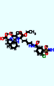 CCOC(=O)[C@H](CCCCNC(=O)c1ccc(Cl)c(S(N)(=O)=O)c1)N[C@@H](C)C(=O)N1[C@@H]2CCCC[C@@H]2C[C@H]1C(=O)O